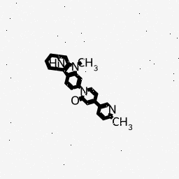 Cc1ccc(-c2ccn(-c3ccc4c5c(n(C)c4c3)CC3CCCC5N3)c(=O)c2)cn1